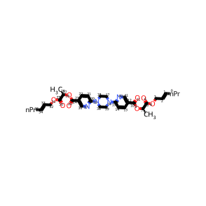 CCC/C=C/COC(=O)[C@@H](C)OC(=O)c1ccc(N2CCN(c3ccc(C(=O)O[C@H](C)C(=O)OC/C=C/CCC)cn3)CC2)nc1